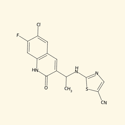 CC(Nc1ncc(C#N)s1)c1cc2cc(Cl)c(F)cc2[nH]c1=O